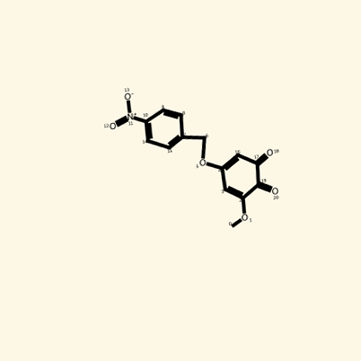 COC1=CC(OCc2ccc([N+](=O)[O-])cc2)=CC(=O)C1=O